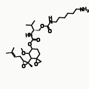 COC1C(OC(=O)N[C@@H](COC(=O)NCCCCCCN)C(C)C)CCC2(CO2)C1[C@]1(C)OC1CC=C(C)C